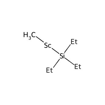 CC[Si](CC)(CC)[Sc][CH3]